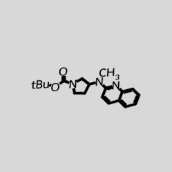 CN(c1ccc2ccccc2n1)C1CCN(C(=O)OC(C)(C)C)C1